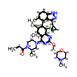 C=CC(=O)N1C[C@H](C)N(c2nc(OC[C@H]3CN(C)CCO3)nc3c(F)c(-c4c(C)ccc5[nH]nc(C6CC6)c45)c(Cl)cc23)C[C@H]1C